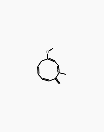 C=C1/C=C\C=C/C/C(OC)=C\C=C/1C